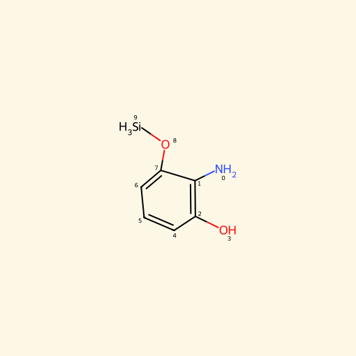 Nc1c(O)cccc1O[SiH3]